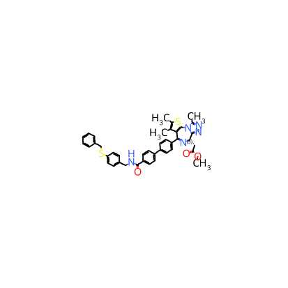 COC(=O)C[C@@H]1N=C(c2ccc(-c3ccc(C(=O)NCc4ccc(SCc5ccccc5)cc4)cc3)cc2)c2c(sc(C)c2C)-n2c(C)nnc21